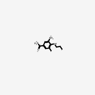 CCCNc1c(C)cc(C(N)=O)cc1N